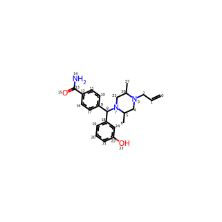 C=CCN1CC(C)N(C(c2ccc(C(N)=O)cc2)c2cccc(O)c2)CC1C